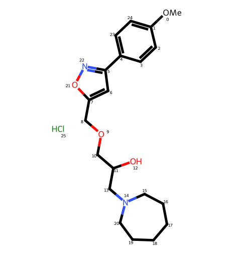 COc1ccc(-c2cc(COCC(O)CN3CCCCCC3)on2)cc1.Cl